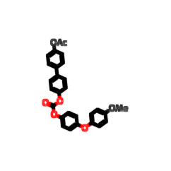 COc1ccc(Oc2ccc(OC(=O)Oc3ccc(-c4ccc(OC(C)=O)cc4)cc3)cc2)cc1